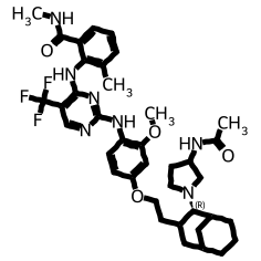 CNC(=O)c1cccc(C)c1Nc1nc(Nc2ccc(OCCC3CC4CCCC(C4)[C@H]3N3CCC(NC(C)=O)C3)cc2OC)ncc1C(F)(F)F